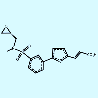 CN(C[C@H]1CO1)S(=O)(=O)c1cccc(-c2ccc(/C=C/C(=O)O)s2)c1